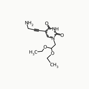 CCOC(Cn1cc(C#CCN)c(=O)[nH]c1=O)OCC